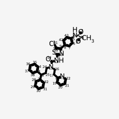 CS(=O)(=O)Nc1ccc(-c2nc(NC(=O)N(CCc3ccccn3)CCC(c3ccccc3)c3ccccc3)sc2Cl)cc1